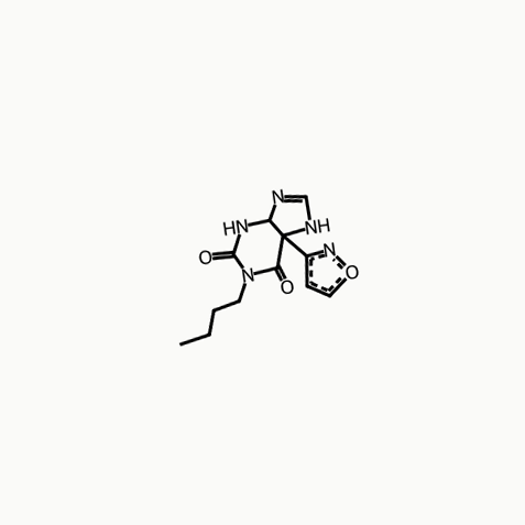 CCCCN1C(=O)NC2N=CNC2(c2ccon2)C1=O